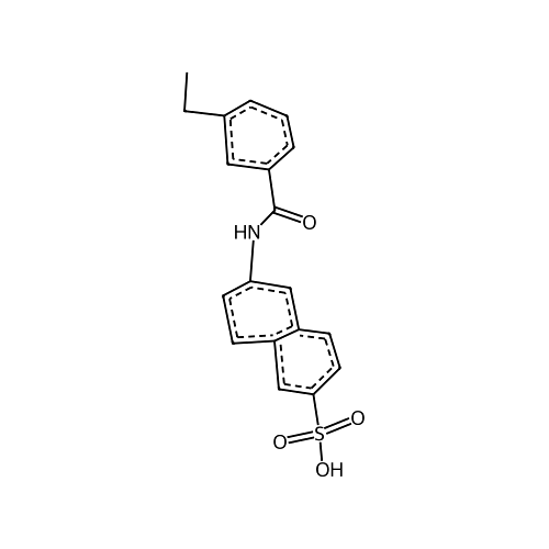 CCc1cccc(C(=O)Nc2ccc3cc(S(=O)(=O)O)ccc3c2)c1